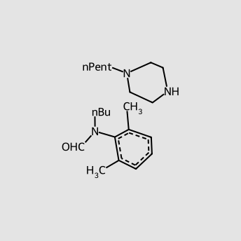 CCCCCN1CCNCC1.CCCCN(C=O)c1c(C)cccc1C